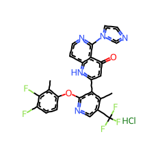 Cc1c(Oc2ncc(C(F)(F)F)c(C)c2-c2cc(=O)c3c(-n4ccnc4)nccc3[nH]2)ccc(F)c1F.Cl